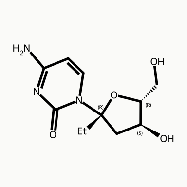 CC[C@]1(n2ccc(N)nc2=O)C[C@H](O)[C@@H](CO)O1